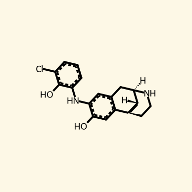 Oc1cc2c(cc1Nc1cccc(Cl)c1O)C[C@H]1NCC[C@@]23CCCC[C@@H]13